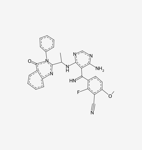 COc1ccc(C(=N)c2c(N)ncnc2NC(C)c2nc3ccccc3c(=O)n2-c2ccccc2)c(F)c1C#N